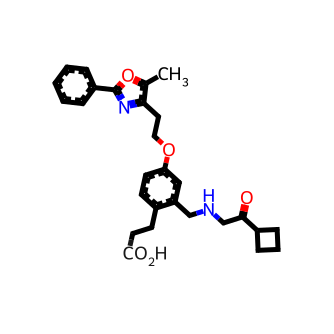 Cc1oc(-c2ccccc2)nc1CCOc1ccc(CCC(=O)O)c(CNCC(=O)C2CCC2)c1